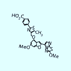 COc1cc(OCc2nc(-c3ccc(C(=O)O)cc3)sc2C)c2cc(-c3cnc4sc(OC)nn34)oc2c1